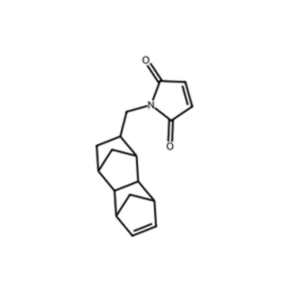 O=C1C=CC(=O)N1CC1CC2CC1C1C3C=CC(C3)C21